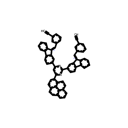 C#Cc1cccc(/C=C2\c3ccccc3-c3ccc(-c4cc(-c5ccc6ccc7cccc8ccc5c6c78)nc(-c5ccc6c(c5)/C(=C/c5cccc(C#C)c5)c5ccccc5-6)n4)cc32)c1